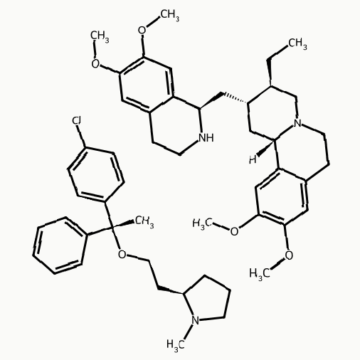 CC[C@H]1CN2CCc3cc(OC)c(OC)cc3[C@@H]2C[C@@H]1C[C@H]1NCCc2cc(OC)c(OC)cc21.CN1CCC[C@@H]1CCO[C@](C)(c1ccccc1)c1ccc(Cl)cc1